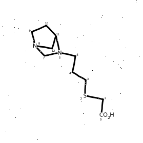 O=C(O)CSCCCN1CN2CCC1C2